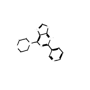 c1cncc(-c2nc(N3CCOCC3)c3nc[nH]c3n2)c1